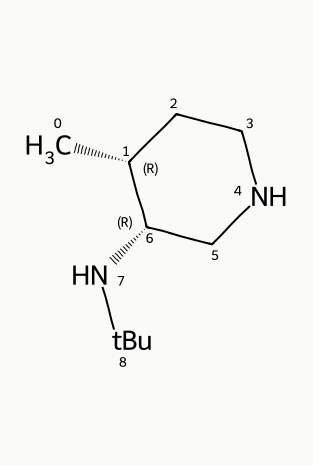 C[C@@H]1CCNC[C@@H]1NC(C)(C)C